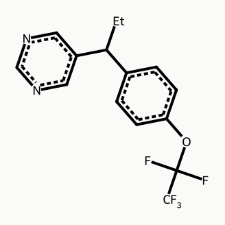 CCC(c1ccc(OC(F)(F)C(F)(F)F)cc1)c1cncnc1